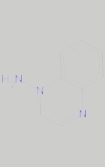 NN1CC=Nc2ccccc21